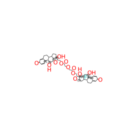 C[C@H]1CC2C3CCC4=CC(=O)C=C[C@]4(C)[C@@]3(F)[C@@H](O)C[C@]2(C)[C@@]1(O)C(=O)COC(=O)COCC(=O)OCC(=O)[C@@]1(O)CCC2C3CCC4=CC(=O)C=C[C@]4(C)C3[C@@H](O)C[C@@]21C